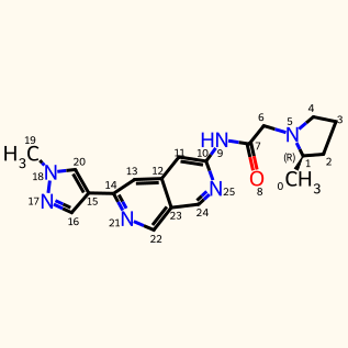 C[C@@H]1CCCN1CC(=O)Nc1cc2cc(-c3cnn(C)c3)ncc2cn1